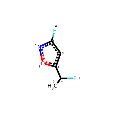 CC(F)c1cc(F)no1